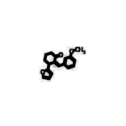 COc1cccc(/C=C2\C(=O)CCCC2c2ccco2)c1